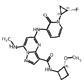 CNc1cc(Nc2cccn([C@H]3C[C@@H]3F)c2=O)nc2c(C(=O)NC3CC[C@H]3OC)cnn12